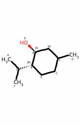 CC1CC[C@H](C(C)C)[C@@H](O)C1